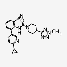 Cn1nnc(C2CCN(C(=O)Nc3c(C#N)cccc3-c3ccc(C4CC4)nc3)CC2)n1